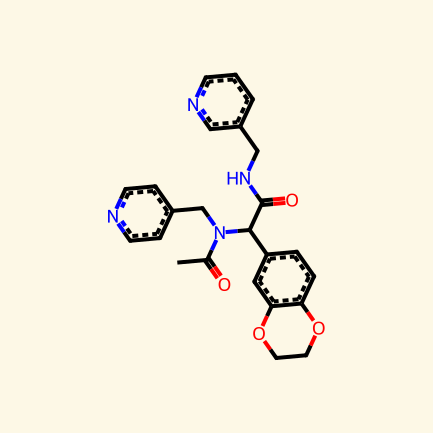 CC(=O)N(Cc1ccncc1)C(C(=O)NCc1cccnc1)c1ccc2c(c1)OCCO2